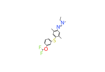 CCN(C)C=Nc1cc(C)c(Sc2cccc(OC(F)F)c2)cc1C